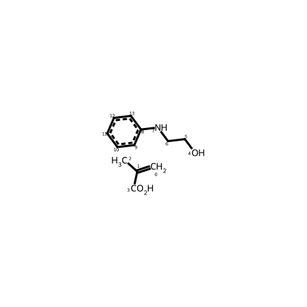 C=C(C)C(=O)O.OCCNc1ccccc1